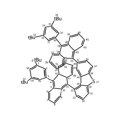 CC(C)(C)c1cc(C2=c3ccccc3=C(c3cccc4sc5ccc(-c6c7ccccc7c(-c7cc(C(C)(C)C)cc(C(C)(C)C)c7)c7ccccc67)cc5c34)C3C=CC=CC23)cc(C(C)(C)C)c1